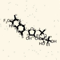 CCC(C)(C[C@H]1O[C@@H](c2cc3nc(C)c(C(F)(F)F)[nH]c-3nc2=S)[C@@H](O)C1O)OP(=O)(O)C(C)(O)CC